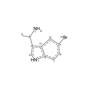 CC(N)c1c[nH]c2ccc(Br)cc12